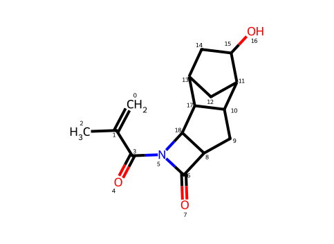 C=C(C)C(=O)N1C(=O)C2CC3C4CC(CC4O)C3C21